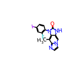 Cc1c2c(cn3ccnc13)[nH]c(=O)n2-c1ccc(I)cc1F